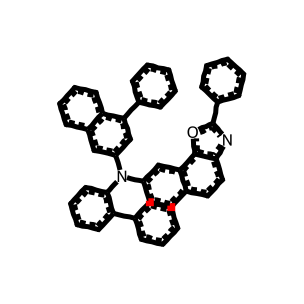 c1ccc(-c2nc3ccc4ccc(N(c5cc(-c6ccccc6)c6ccccc6c5)c5ccccc5-c5ccccc5)cc4c3o2)cc1